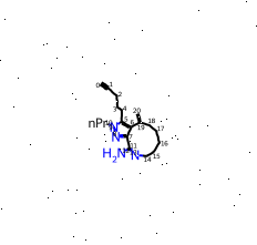 C#CCCCc1c2c(nn1CCC)/C(N)=N\CCCCCC2=C